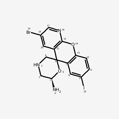 N[C@H]1CNCC2(O1)c1cc(I)ccc1Oc1ncc(Br)cc12